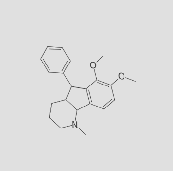 COc1ccc2c(c1OC)C(c1ccccc1)C1CCCN(C)C21